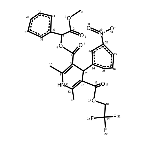 COC(=O)C(OC(=O)C1=C(C)NC(C)=C(C(=O)OCC(F)(F)F)C1c1cccc([N+](=O)[O-])c1)c1ccccc1